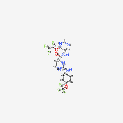 O=C(Nc1cncnc1OC(F)C(F)F)c1ccnc(Nc2ccc(OC(F)(F)F)cc2)n1